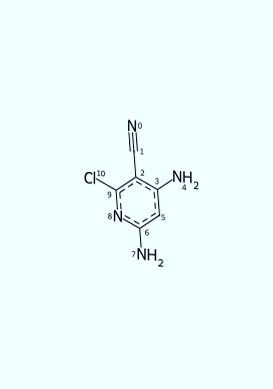 N#Cc1c(N)cc(N)nc1Cl